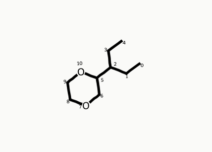 CCC(CC)C1COCCO1